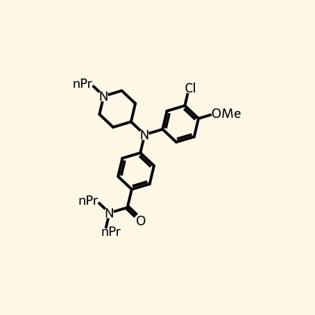 CCCN1CCC(N(c2ccc(C(=O)N(CCC)CCC)cc2)c2ccc(OC)c(Cl)c2)CC1